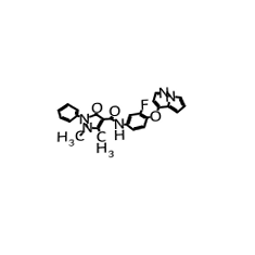 Cc1c(C(=O)Nc2ccc(Oc3ccnn4cccc34)c(F)c2)c(=O)n(-c2ccccc2)n1C